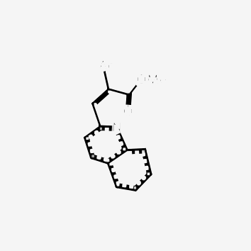 COC(=O)C(=Cc1ccc2ccccc2n1)C(C)=O